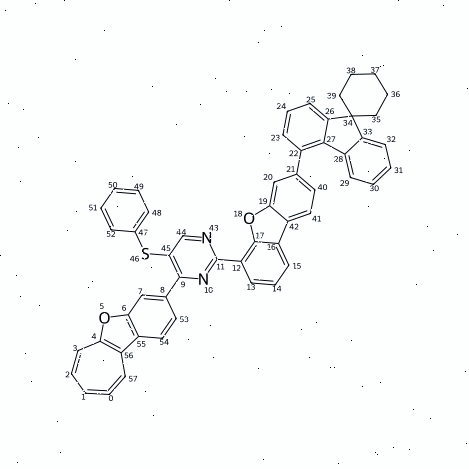 C1=CC=Cc2oc3cc(-c4nc(-c5cccc6c5oc5cc(-c7cccc8c7-c7ccccc7C87CCCCC7)ccc56)ncc4Sc4ccccc4)ccc3c2C=1